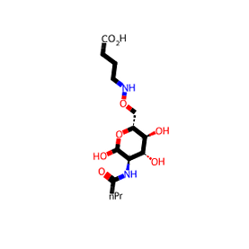 CCCC(=O)N[C@H]1C(O)O[C@H](CONCCCC(=O)O)[C@@H](O)[C@@H]1O